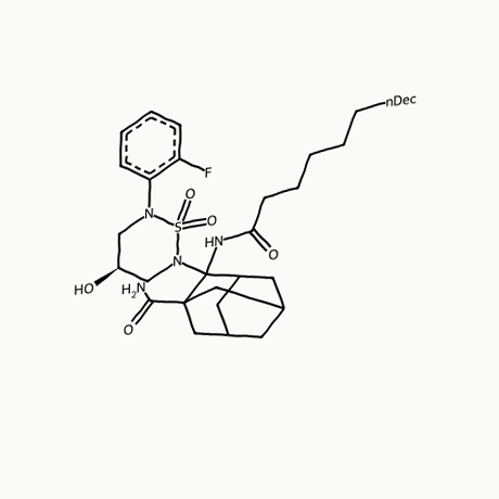 CCCCCCCCCCCCCCCC(=O)NC1(N2C[C@@H](O)CN(c3ccccc3F)S2(=O)=O)C2CC3CC(C2)CC1(C(N)=O)C3